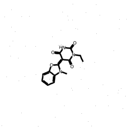 CCN1C(=O)NC(=O)/C(=C2\Oc3ccccc3N2C)C1=O